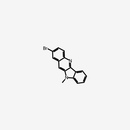 Cn1c2ccccc2c2nc3ccc(Br)cc3cc21